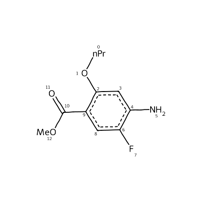 CCCOc1cc(N)c(F)cc1C(=O)OC